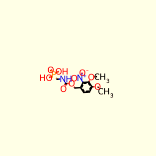 COc1ccc(COC(=O)NCP(=O)(O)O)c([N+](=O)[O-])c1OC